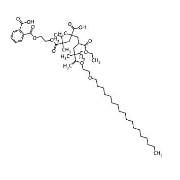 C=C(OCCOCCCCCCCCCCCCCCCCCC)C(C)(C)CC(CC(C)(CC(C)(CC)C(=O)OCCOC(=O)c1ccccc1C(=O)O)C(=O)O)C(=O)OCC